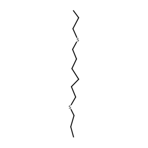 CCCSCCCCCCSCCC